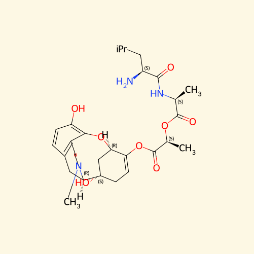 CC(C)C[C@H](N)C(=O)N[C@@H](C)C(=O)O[C@@H](C)C(=O)OC1=CC[C@]2(O)C[C@H]1Oc1c(O)ccc3c1CCCN(C)[C@@H]2C3